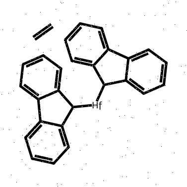 C=C.c1ccc2c(c1)-c1ccccc1[CH]2[Hf][CH]1c2ccccc2-c2ccccc21